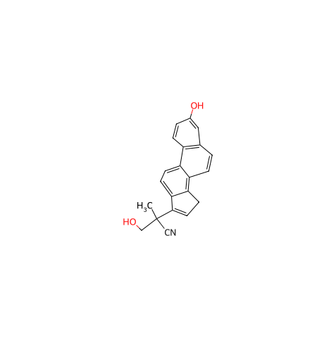 CC(C#N)(CO)C1=CCc2c1ccc1c2ccc2cc(O)ccc21